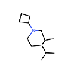 CC(C)C1CCN(C2CCC2)CC1C